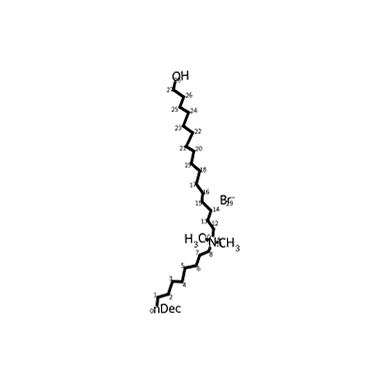 CCCCCCCCCCCCCCCCCC[N+](C)(C)CCCCCCCCCCCCCCCCO.[Br-]